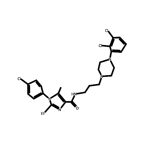 CCc1nc(C(=O)NCCCN2CCN(c3cccc(Cl)c3Cl)CC2)c(C)n1-c1ccc(Cl)cc1